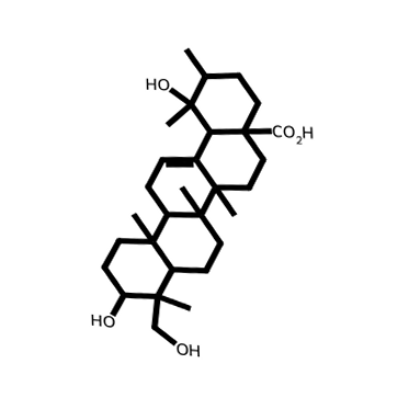 CC1CCC2(C(=O)O)CCC3(C)C(=CCC4C5(C)CCC(O)C(C)(CO)C5CCC43C)C2C1(C)O